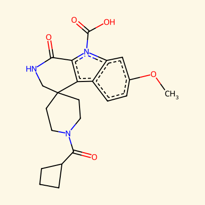 COc1ccc2c3c(n(C(=O)O)c2c1)C(=O)NCC31CCN(C(=O)C2CCC2)CC1